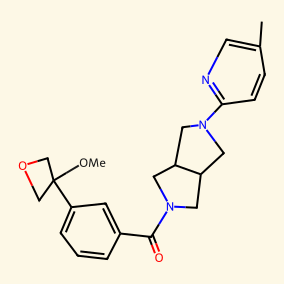 COC1(c2cccc(C(=O)N3CC4CN(c5ccc(C)cn5)CC4C3)c2)COC1